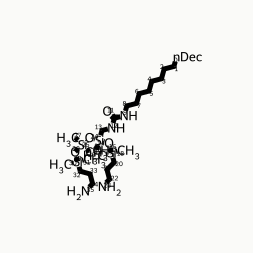 CCCCCCCCCCCCCCCCCCNC(=O)NC[Si](C)(O[Si](C)(C)CCCN)O[Si](C)(C)O[Si](C)(C)CCCN